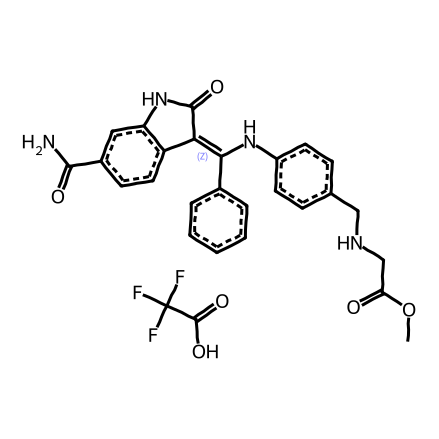 COC(=O)CNCc1ccc(N/C(=C2\C(=O)Nc3cc(C(N)=O)ccc32)c2ccccc2)cc1.O=C(O)C(F)(F)F